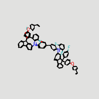 C=Cc1ccc(Oc2ccc(C3(c4ccc(F)cc4)c4ccccc4-c4ccc(N(c5ccc(-c6ccc(N7c8ccc9c(c8)C(c8ccc(F)cc8)(c8ccccc8-9)c8ccc(Oc9ccc(C=C)cc9)cc8-c8cccc(F)c87)cc6)cc5)c5c(F)cccc5F)cc43)cc2)cc1